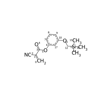 C=C(C#N)C(=O)Oc1cccc(OC[Si](C)(C)C)c1